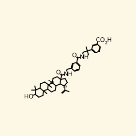 C=C(C)[C@@H]1CCC2(C(=O)NCc3cccc(C(=O)NCC(C)(C)c4cccc(C(=O)O)c4)c3)CC[C@]3(C)C(CCC4C5(C)CCC(O)C(C)(C)C5CCC43C)C12